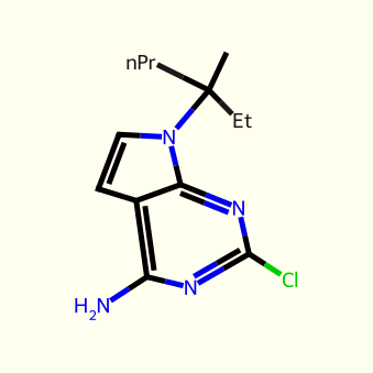 CCCC(C)(CC)n1ccc2c(N)nc(Cl)nc21